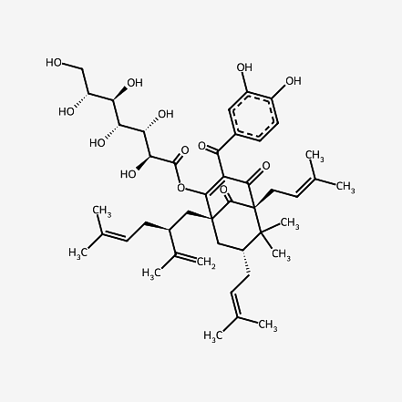 C=C(C)[C@@H](CC=C(C)C)C[C@@]12C[C@@H](CC=C(C)C)C(C)(C)[C@@](CC=C(C)C)(C(=O)C(C(=O)c3ccc(O)c(O)c3)=C1OC(=O)[C@@H](O)[C@@H](O)[C@H](O)[C@H](O)[C@H](O)CO)C2=O